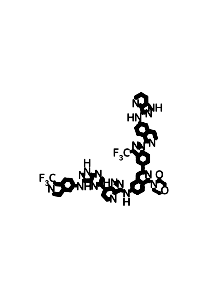 O=C1COCCN1c1nc(-c2ccc3c(c2)c(C(F)(F)F)nn3-c2nccc3cc(Nc4n[nH]c5cccnc45)ccc23)cc2cc(Nc3n[nH]c4c(-c5cnc6[nH]nc(Nc7ccc8c(C(F)(F)F)nccc8c7)c6n5)ccnc34)ccc12